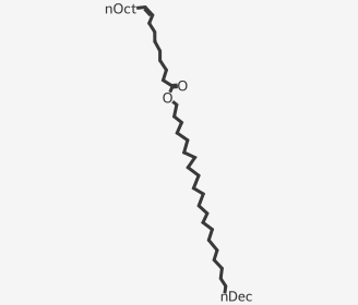 CCCCCCCC/C=C\CCCCCCCC(=O)OCCCCCCCCCCCCCCCCCCCCCCCCCCCCCCC